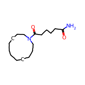 NC(=O)CCCCC(=O)N1CCCCCCCCCCC1